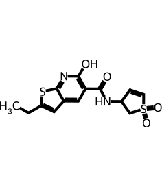 CCc1cc2cc(C(=O)NC3C=CS(=O)(=O)C3)c(O)nc2s1